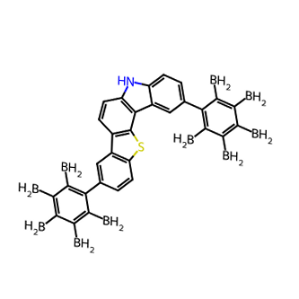 Bc1c(B)c(B)c(-c2ccc3sc4c(ccc5[nH]c6ccc(-c7c(B)c(B)c(B)c(B)c7B)cc6c54)c3c2)c(B)c1B